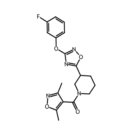 Cc1noc(C)c1C(=O)N1CCCC(c2nc(Oc3cccc(F)c3)no2)C1